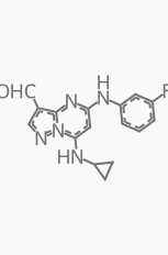 O=Cc1cnn2c(NC3CC3)cc(Nc3cccc(F)c3)nc12